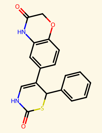 O=C1COc2ccc(C3=CNC(=O)SC3c3ccccc3)cc2N1